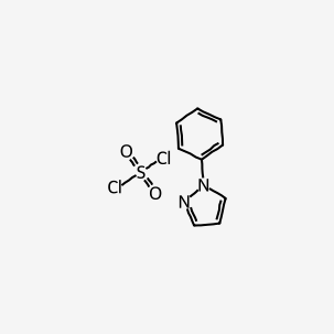 O=S(=O)(Cl)Cl.c1ccc(-n2cccn2)cc1